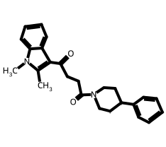 Cc1c(C(=O)CCC(=O)N2C[CH][C](c3ccccc3)CC2)c2ccccc2n1C